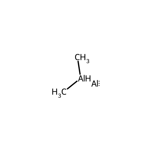 [Al].[CH3][AlH][CH3]